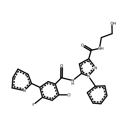 O=C(NCCO)c1cc(NC(=O)c2cc(-c3ccccn3)c(F)cc2Cl)n(-c2ccccc2)n1